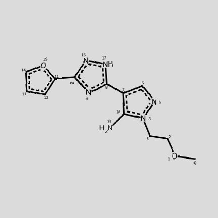 COCCn1ncc(-c2nc(-c3ccco3)n[nH]2)c1N